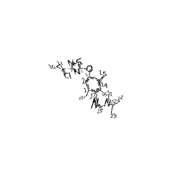 Cc1cc(Oc2nc(C3(Cl)CC3)ns2)c(C)cc1/N=C\N(C)C(C)C